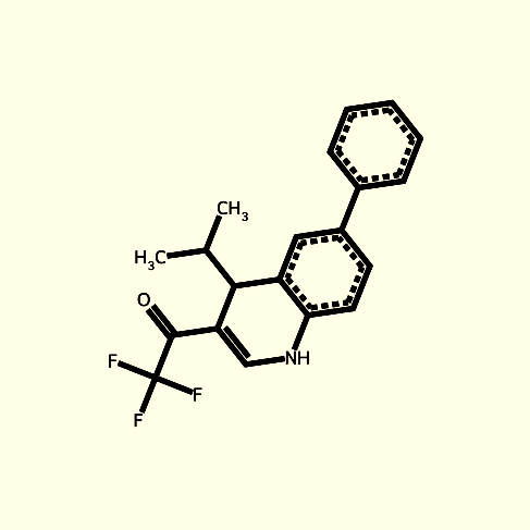 CC(C)C1C(C(=O)C(F)(F)F)=CNc2ccc(-c3ccccc3)cc21